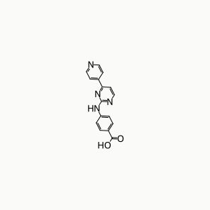 O=C(O)c1ccc(Nc2nccc(-c3ccncc3)n2)cc1